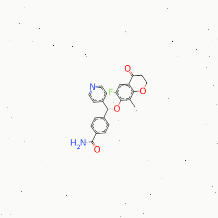 Cc1c(O[C@@H](c2ccncc2)c2ccc(C(N)=O)cc2)c(F)cc2c1OCCC2=O